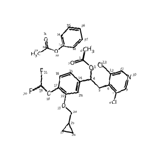 CC(=O)OC(Cc1c(Cl)cncc1Cl)c1ccc(OC(F)F)c(OCC2CC2)c1.CC(=O)Oc1ccccc1